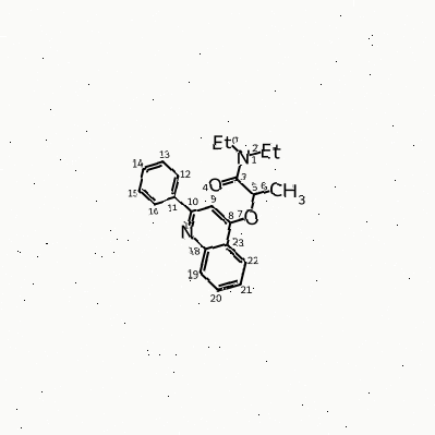 CCN(CC)C(=O)C(C)Oc1cc(-c2ccccc2)nc2ccccc12